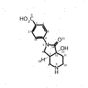 O=C(O)c1ccc(N2C[C@@H]3CNCC[C@]3(O)C2=O)cc1